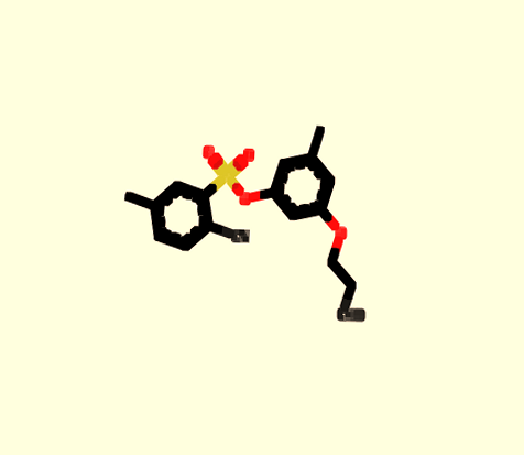 Cc1cc(OCCC=O)cc(OS(=O)(=O)c2cc(C)ccc2C#N)c1